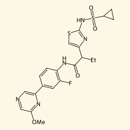 CCC(C(=O)Nc1ccc(-c2cncc(OC)n2)cc1F)c1csc(NS(=O)(=O)C2CC2)n1